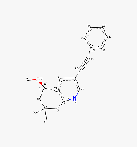 CO[C@@H]1CC(C)(C)Cc2ncc(C#Cc3ccccc3)cc21